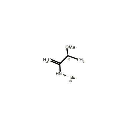 C=C(N[C@@H](C)CC)[C@H](C)OC